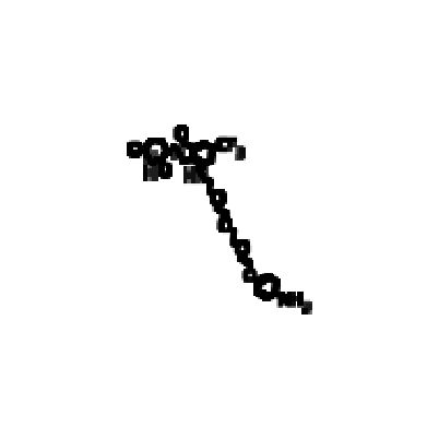 Nc1ccc(OCCOCCOCCOCCNc2cc(C(F)(F)F)cc3c2CN(C2CCC(=O)NC2=O)C3=O)cc1